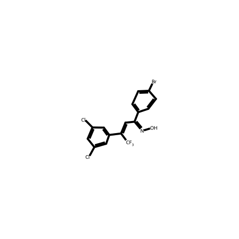 ON=C(C=C(c1cc(Cl)cc(Cl)c1)C(F)(F)F)c1ccc(Br)cc1